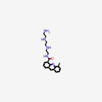 Cc1cccc2cc3cccc(C(=O)NCCNCCNCCN)c3nc12